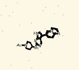 CC(=O)N1CCC(Nc2ncc3c(-c4ccc5nccn5c4)c[nH]c3n2)CC1